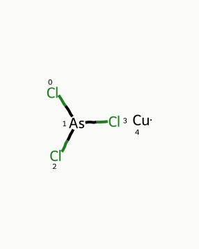 Cl[As](Cl)Cl.[Cu]